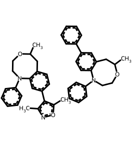 CC1Cc2cc(-c3ccccc3)ccc2N(c2ccccc2)CCO1.Cc1noc(C)c1-c1ccc2c(c1)N(c1ccccc1)CCOC(C)C2